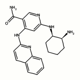 NC(=O)c1cnc(N[C@@H]2CCCC[C@@H]2N)cc1Nc1ccc2ccccc2n1